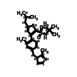 Cc1cc(Cn2ccnc2C)ccc1-c1cc(CC(C)C)sc1S(=O)(=O)NC(C)(C)C